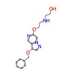 OCCNCCOc1cn2ncc(OCc3ccccc3)c2cn1